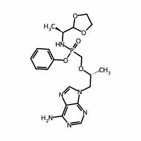 C[C@H](Cn1cnc2c(N)ncnc21)OCP(=O)(N[C@@H](C)C1OCCO1)Oc1ccccc1